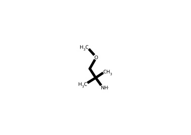 COCC(C)(C)[NH]